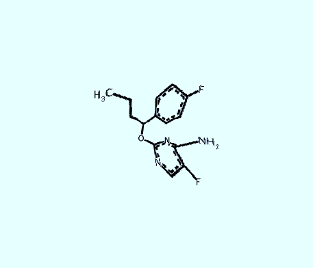 CCCC(Oc1ncc(F)c(N)n1)c1ccc(F)cc1